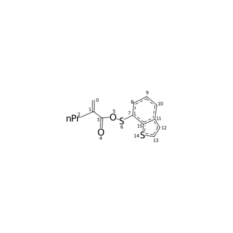 C=C(CCC)C(=O)OSc1cccc2ccsc12